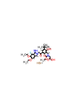 Br.CCOc1cc2c(c(F)c1OCC)C(=N)N(CC(=O)c1cc(CN(CC(=O)O)C(=O)OC)c(O)c(C(C)(C)C)c1)C2